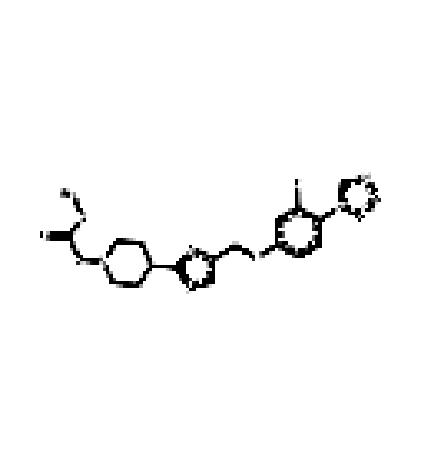 CC(C)(C)OC(=O)ON1CCC(c2nc(COc3ccc(-n4cnnn4)c(F)c3)cs2)CC1